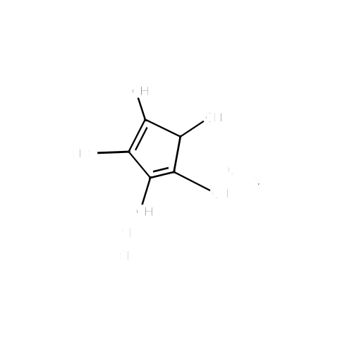 CC1=C(C)C(C)C(C)=C1C.[Cl-].[Cl-].[Cl-].[V+3]